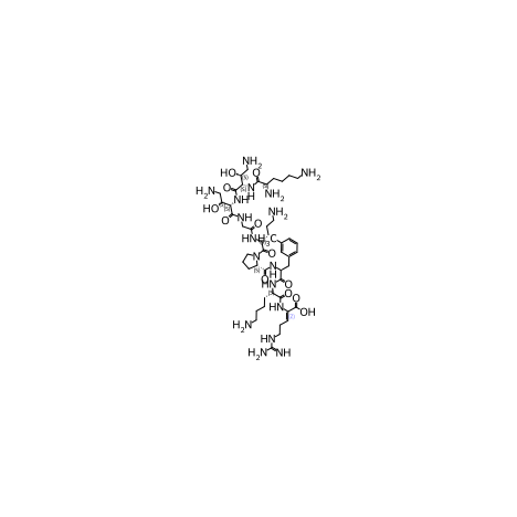 Cc1cccc(CC(NC(=O)[C@@H]2CCCN2C(=O)[C@@H](CCCN)NC(=O)CNC(=O)[C@@H](NC(=O)[C@@H](NC(=O)[C@@H](N)CCCCN)[C@@H](O)CN)[C@@H](O)CN)C(=O)N[C@@H](CCCCN)C(=O)N/C(=C\CCNC(=N)N)C(=O)O)c1